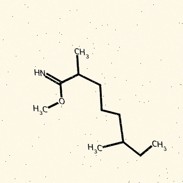 CCC(C)CCCC(C)C(=N)OC